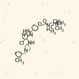 Cc1cccc(CN2CCC(Nc3c(Cl)cnc4[nH]c(-c5ccc(OCC(=O)NCC(C)(C)N(C)C)cc5)nc34)CC2)c1